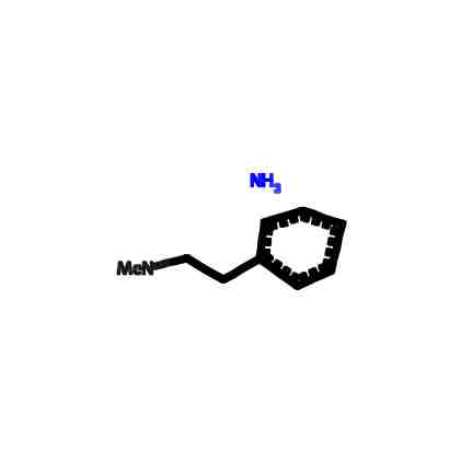 CNCCc1ccccc1.N